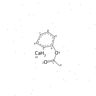 CC(=O)Oc1ccccc1.[CaH2]